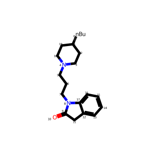 CCCCC1CCN(CCCN2C(=O)Cc3ccccc32)CC1